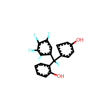 Oc1ccc(C(F)(c2ccccc2O)c2cc(F)c(F)c(F)c2F)cc1